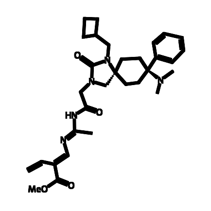 C=C/C(=C\N=C(/C)NC(=O)CN1C[C@]2(CC[C@](c3ccccc3)(N(C)C)CC2)N(CC2CCC2)C1=O)C(=O)OC